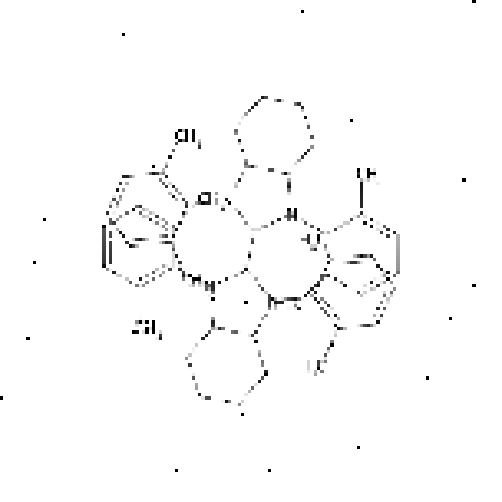 Cc1cccc(C)c1N1C2CCCCC2N(c2c(C)cccc2C)C1C1N(c2c(C)cccc2C)C2CCCCC2N1c1c(C)cccc1C